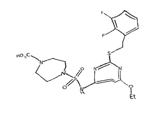 CCOc1cc(NS(=O)(=O)N2CCN(C(=O)O)CC2)nc(SCc2cccc(F)c2F)n1